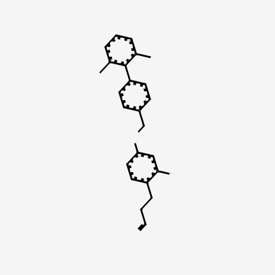 Cc1cccc(C)c1-c1ccc(COc2ccc(CCC=O)c(F)c2)cc1